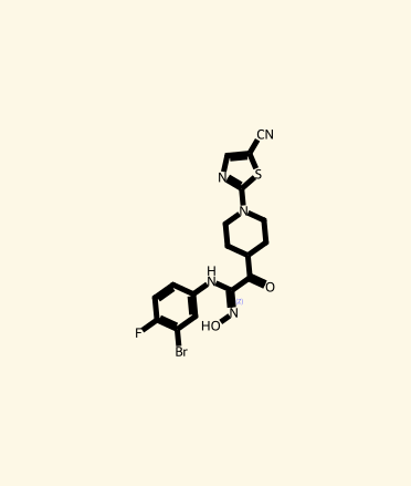 N#Cc1cnc(N2CCC(C(=O)/C(=N/O)Nc3ccc(F)c(Br)c3)CC2)s1